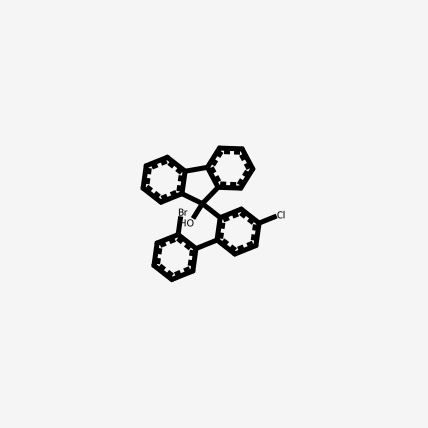 OC1(c2cc(Cl)ccc2-c2ccccc2Br)c2ccccc2-c2ccccc21